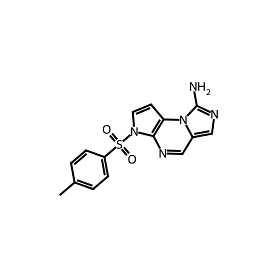 Cc1ccc(S(=O)(=O)n2ccc3c2ncc2cnc(N)n23)cc1